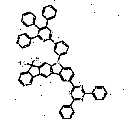 CC1(C)c2ccccc2-c2cc3c4cc(-c5nc(-c6ccccc6)nc(-c6ccccc6)n5)ccc4n(-c4cccc(-c5nc(-c6ccccc6)c(-c6ccccc6)c(-c6ccccc6)n5)c4)c3cc21